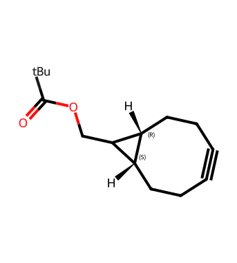 CC(C)(C)C(=O)OCC1[C@H]2CCC#CCC[C@@H]12